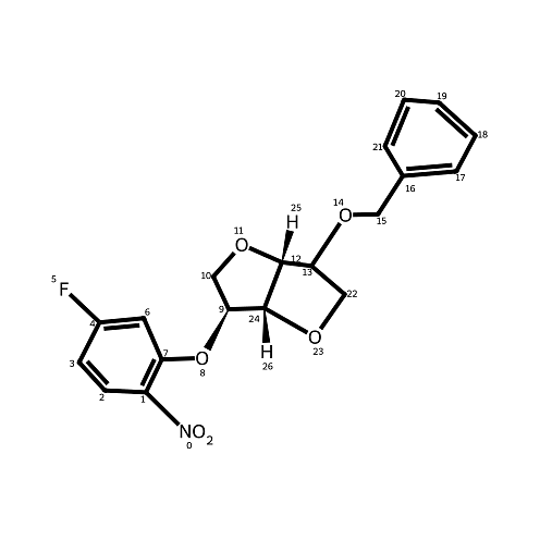 O=[N+]([O-])c1ccc(F)cc1O[C@H]1CO[C@@H]2C(OCc3ccccc3)CO[C@H]12